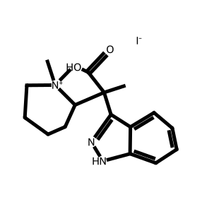 CC(C(=O)O)(c1n[nH]c2ccccc12)C1CCCC[N+]1(C)C.[I-]